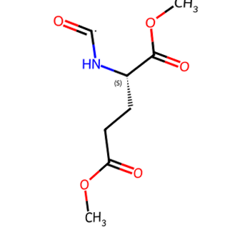 COC(=O)CC[C@H](N[C]=O)C(=O)OC